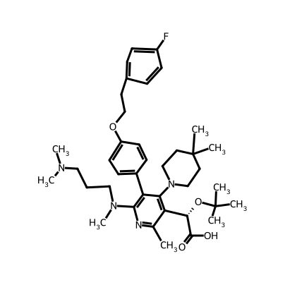 Cc1nc(N(C)CCCN(C)C)c(-c2ccc(OCCc3ccc(F)cc3)cc2)c(N2CCC(C)(C)CC2)c1[C@H](OC(C)(C)C)C(=O)O